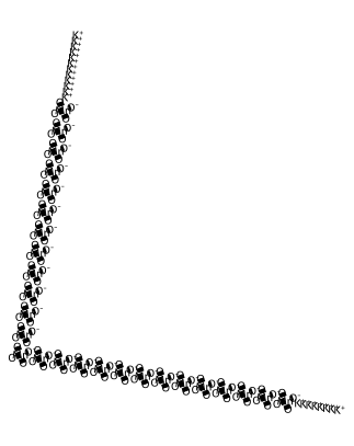 [K+].[K+].[K+].[K+].[K+].[K+].[K+].[K+].[K+].[K+].[K+].[K+].[K+].[K+].[K+].[K+].[K+].[K+].[K+].[K+].[O]=[Mn](=[O])(=[O])[O-].[O]=[Mn](=[O])(=[O])[O-].[O]=[Mn](=[O])(=[O])[O-].[O]=[Mn](=[O])(=[O])[O-].[O]=[Mn](=[O])(=[O])[O-].[O]=[Mn](=[O])(=[O])[O-].[O]=[Mn](=[O])(=[O])[O-].[O]=[Mn](=[O])(=[O])[O-].[O]=[Mn](=[O])(=[O])[O-].[O]=[Mn](=[O])(=[O])[O-].[O]=[Mn](=[O])(=[O])[O-].[O]=[Mn](=[O])(=[O])[O-].[O]=[Mn](=[O])(=[O])[O-].[O]=[Mn](=[O])(=[O])[O-].[O]=[Mn](=[O])(=[O])[O-].[O]=[Mn](=[O])(=[O])[O-].[O]=[Mn](=[O])(=[O])[O-].[O]=[Mn](=[O])(=[O])[O-].[O]=[Mn](=[O])(=[O])[O-].[O]=[Mn](=[O])(=[O])[O-].[O]=[Mn](=[O])(=[O])[O-].[O]=[Mn](=[O])(=[O])[O-].[O]=[Mn](=[O])(=[O])[O-].[O]=[Mn](=[O])(=[O])[O-].[O]=[Mn](=[O])(=[O])[O-].[O]=[Mn](=[O])(=[O])[O-]